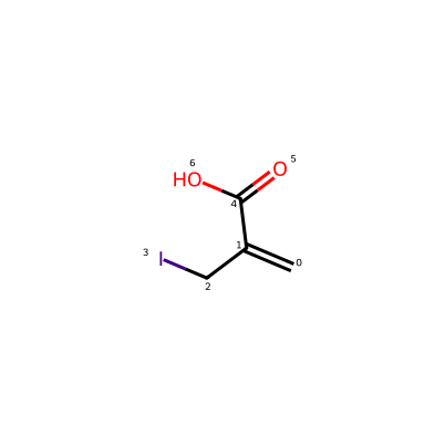 C=C(CI)C(=O)O